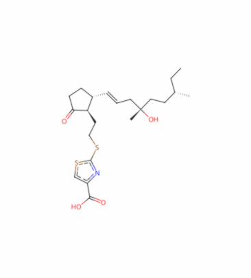 CC[C@H](C)CC[C@](C)(O)CC=C[C@H]1CCC(=O)[C@@H]1CCSc1nc(C(=O)O)cs1